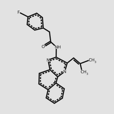 CC(C)=Cc1nc2c(ccc3ccccc32)nc1NC(=O)Cc1ccc(F)cc1